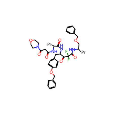 CC(C)C(COCc1ccccc1)NC(=O)C(F)(F)C(=O)C(Cc1ccc(OCc2ccccc2)cc1)NC(=O)C(NC(=O)CC(=O)N1CCOCC1)C(C)C